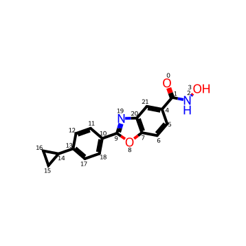 O=C(NO)c1ccc2oc(-c3ccc(C4CC4)cc3)nc2c1